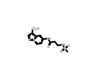 CS(=O)(=O)NCCC(=O)Nc1ccn2ncc(C(=O)O)c2c1